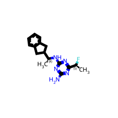 C[C@H](F)c1nc(N)nc(N[C@H](C)C2Cc3ccccc3C2)n1